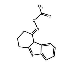 O=C(ON=C1CCCC2=Nc3ccccc3C12)C(F)(F)F